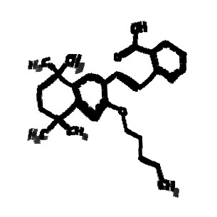 CCCCCOc1cc2c(cc1C=Cc1ccccc1C(=O)O)C(C)(C)CCC2(C)C